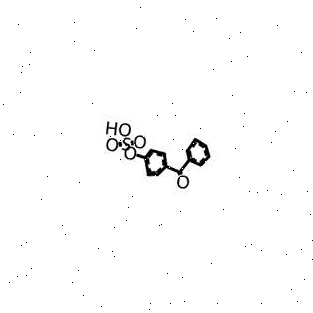 O=C(c1ccccc1)c1ccc(OS(=O)(=O)O)cc1